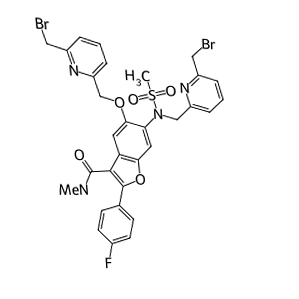 CNC(=O)c1c(-c2ccc(F)cc2)oc2cc(N(Cc3cccc(CBr)n3)S(C)(=O)=O)c(OCc3cccc(CBr)n3)cc12